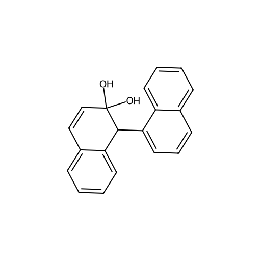 OC1(O)C=Cc2ccccc2C1c1cccc2ccccc12